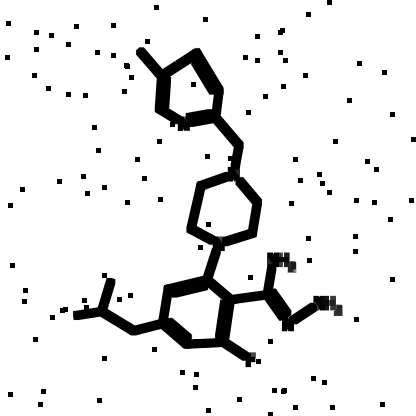 Cc1ccc(CN2CCN(c3cc(CC(C)C)cc(F)c3/C(N)=N/N)CC2)nc1